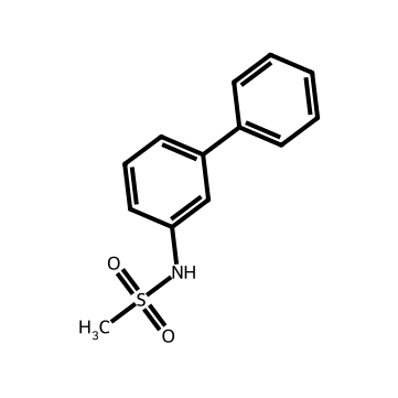 CS(=O)(=O)Nc1cccc(-c2ccccc2)c1